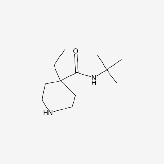 CCC1(C(=O)NC(C)(C)C)CCNCC1